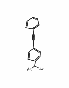 CC(=O)C(C(C)=O)c1ccc(C#Cc2ccccc2)cc1